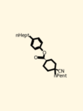 CCCCCCCc1ccc(OC(=O)[C@H]2CC[C@@](C#N)(CCCCC)CC2)cc1